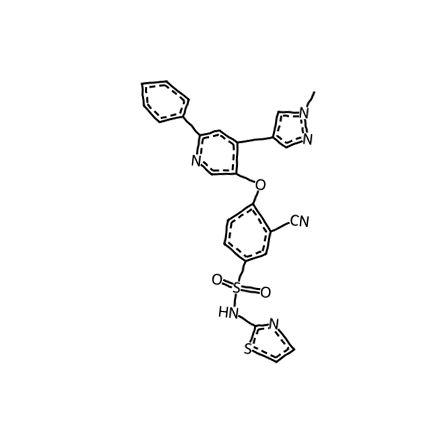 Cn1cc(-c2cc(-c3ccccc3)ncc2Oc2ccc(S(=O)(=O)Nc3nccs3)cc2C#N)cn1